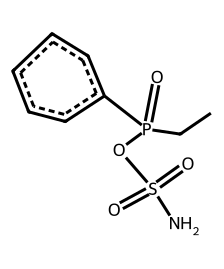 CCP(=O)(OS(N)(=O)=O)c1ccccc1